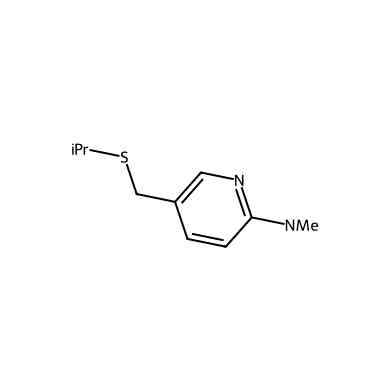 CNc1ccc(CSC(C)C)cn1